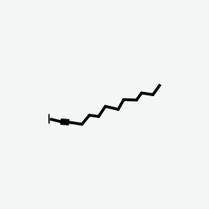 CCCCCCCCCCC#CI